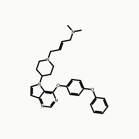 CN(C)CC=CCN1CCC(n2ccc3ncnc(Oc4ccc(Oc5ccccc5)cc4)c32)CC1